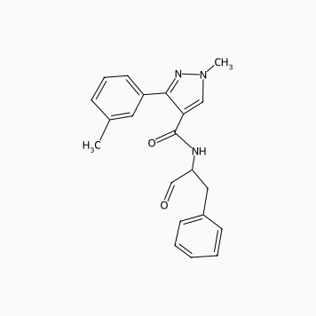 Cc1cccc(-c2nn(C)cc2C(=O)NC(C=O)Cc2ccccc2)c1